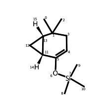 CC1(C)CC=C(O[Si](C)(C)C)[C@@H]2C[C@@H]21